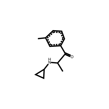 Cc1cccc(C(=O)C(C)NC2CC2)c1